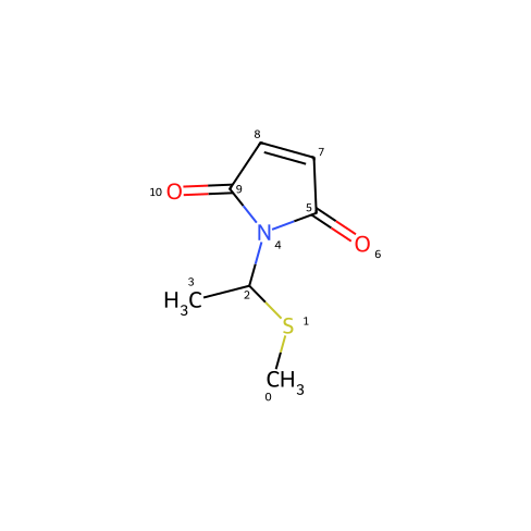 CSC(C)N1C(=O)C=CC1=O